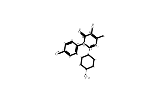 Cc1nc([C@H]2CC[C@@H](C(F)(F)F)CC2)n(-c2ccc(Cl)cc2)c(=O)c1Cl